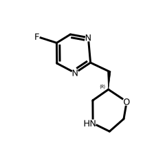 Fc1cnc(C[C@@H]2CNCCO2)nc1